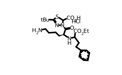 CCOC(=O)C(CCc1ccccc1)N[C@@H](CCCCN)C(=O)N1N=C(C(C)(C)C)SC1C(=O)O.Cl